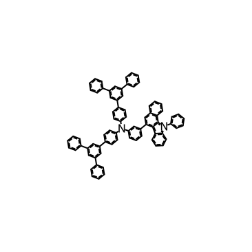 c1ccc(-c2cc(-c3ccccc3)cc(-c3ccc(N(c4ccc(-c5cc(-c6ccccc6)cc(-c6ccccc6)c5)cc4)c4cccc(-c5cc6ccccc6c6c5c5ccccc5n6-c5ccccc5)c4)cc3)c2)cc1